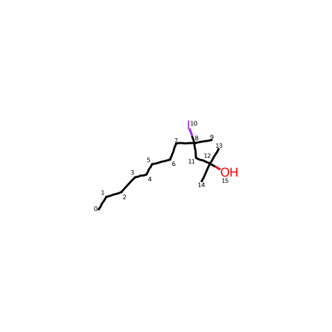 CCCCCCCCC(C)(I)CC(C)(C)O